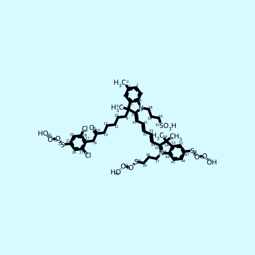 Cc1ccc2c(c1)C(C)(CCCCCC(=O)Cc1c(Cl)cc(SOOO)cc1Cl)/C(=C/C=C/C=C/C1=[N+](CCCSOOO)c3ccc(SOOO)cc3C1(C)C)N2CCCS(=O)(=O)O